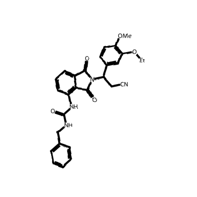 CCOc1cc(C(CC#N)N2C(=O)c3cccc(NC(=O)NCc4ccccc4)c3C2=O)ccc1OC